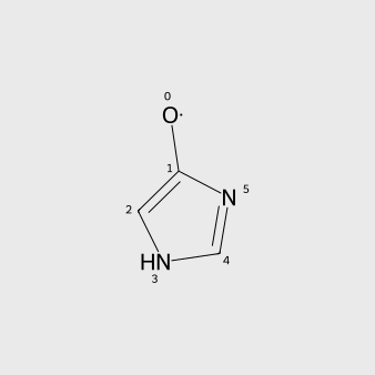 [O]c1c[nH]cn1